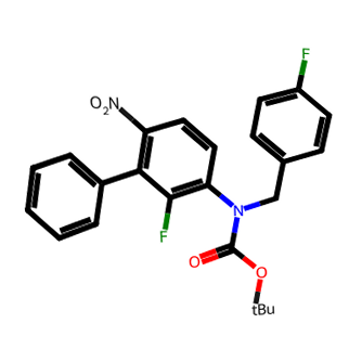 CC(C)(C)OC(=O)N(Cc1ccc(F)cc1)c1ccc([N+](=O)[O-])c(-c2ccccc2)c1F